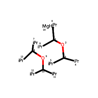 CC(C)C(OC(C(C)C)C(C)C)C(C)C.CC(C)C(OC(C(C)C)C(C)C)C(C)C.[MgH2]